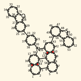 c1ccc(-c2cccc3cccc(-c4ccccc4N(c4ccc(-c5ccc6c(c5)oc5ccccc56)cc4)c4cccc(-c5cccc6sc7ccccc7c56)c4)c23)cc1